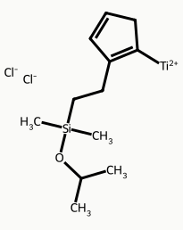 CC(C)O[Si](C)(C)CCC1=[C]([Ti+2])CC=C1.[Cl-].[Cl-]